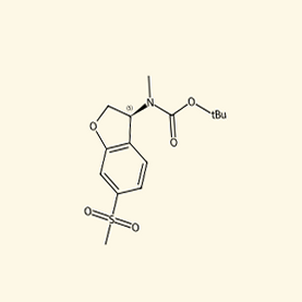 CN(C(=O)OC(C)(C)C)[C@@H]1COc2cc(S(C)(=O)=O)ccc21